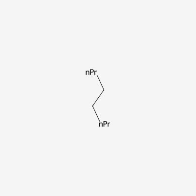 [CH2]CCCCC[CH]C